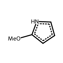 COc1ccc[nH]1